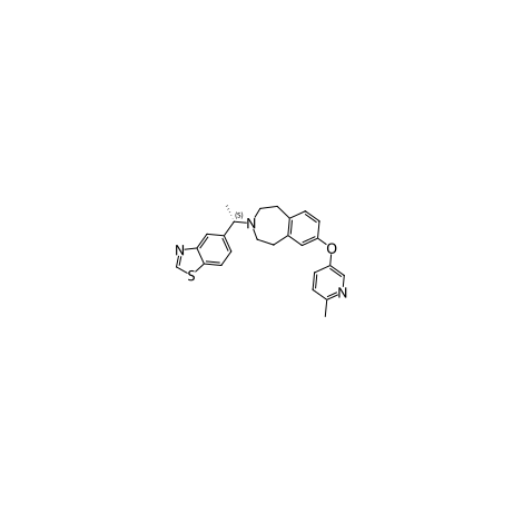 Cc1ccc(Oc2ccc3c(c2)CCN([C@@H](C)c2ccc4scnc4c2)CC3)cn1